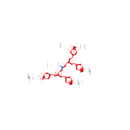 CC1(C)OCC(OCC(COC2COC(C)(C)OC2)OCC(N)COC(COC2COC(C)(C)OC2)COC2COC(C)(C)OC2)CO1